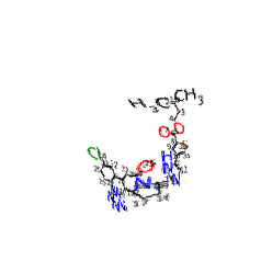 CC(C)CCOC(=O)c1cc(-c2cnc([C@@H]3CCc4cc(-c5cc(Cl)ccc5-n5cnnn5)cc(=O)n43)[nH]2)cs1